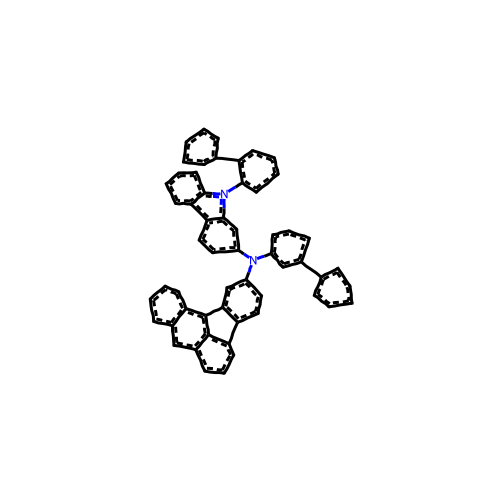 c1ccc(-c2cccc(N(c3ccc4c(c3)-c3c5ccccc5cc5cccc-4c35)c3ccc4c5ccccc5n(-c5ccccc5-c5ccccc5)c4c3)c2)cc1